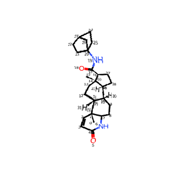 C[C@]12C=CC(=O)NC1CC[C@@H]1[C@H]2CC[C@]2(C)C(C(=O)NC34CCC(CC3)C4)CC[C@@H]12